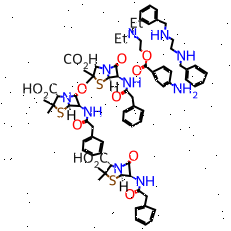 CC1(C)S[C@@H]2[C@H](NC(=O)Cc3ccccc3)C(=O)N2[C@H]1C(=O)O.CC1(C)S[C@@H]2[C@H](NC(=O)Cc3ccccc3)C(=O)N2[C@H]1C(=O)O.CC1(C)S[C@@H]2[C@H](NC(=O)Cc3ccccc3)C(=O)N2[C@H]1C(=O)O.CCN(CC)CCOC(=O)c1ccc(N)cc1.c1ccc(CNCCNCc2ccccc2)cc1